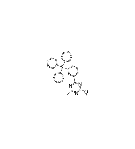 COc1nc(C)nc(-c2cccc([Si](c3ccccc3)(c3ccccc3)c3ccccc3)c2)n1